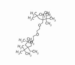 CCC(COCCOCCOCC(CO)(CC(C)(C)C)C(C)(C)C)(CC(C)(C)C)C(C)(C)C